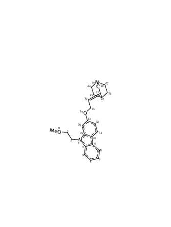 COCCn1c2ccccc2c2ccc(OCC=C3CN4CCC3CC4)cc21